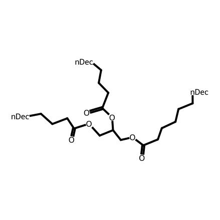 CCCCCCCCCCCCCCCC(=O)OCC(COC(=O)CCCCCCCCCCCCC)OC(=O)CCCCCCCCCCCCC